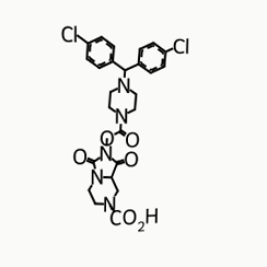 O=C(O)N1CCN2C(=O)N(OC(=O)N3CCN(C(c4ccc(Cl)cc4)c4ccc(Cl)cc4)CC3)C(=O)C2C1